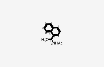 CC(=O)N[C@@H](C)c1cccc2ccccc12